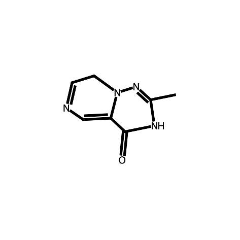 CC1=NN2CC=NC=C2C(=O)N1